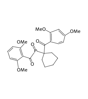 COc1ccc(C(=O)C2([P](=O)C(=O)c3c(OC)cccc3OC)CCCCC2)c(OC)c1